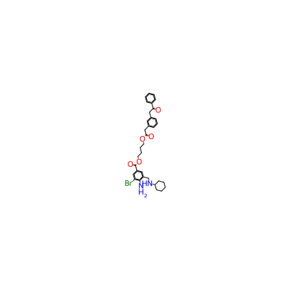 Nc1c(Br)cc(C(=O)OCCCCOC(=O)Cc2cccc(CC(=O)c3ccccc3)c2)cc1CNC1CCCCC1